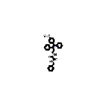 COc1ccc(/C(=C(/CCNC(=O)C(=O)NCc2ccccc2)c2ccccc2)c2ccccc2)cc1